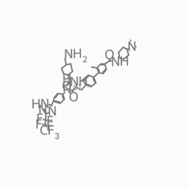 Cc1cc(C(=O)NC2CCC(N(C)C)CC2)ccc1-c1ccc(C[C@H](NC(=O)C2CCC(CN)CC2)C(=O)Nc2ccc(-c3nc(C(F)(F)C(F)(F)C(F)(F)F)n[nH]3)cc2)cc1